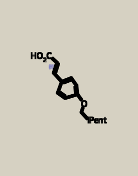 CCCC(C)COc1ccc(/C=C/C(=O)O)cc1